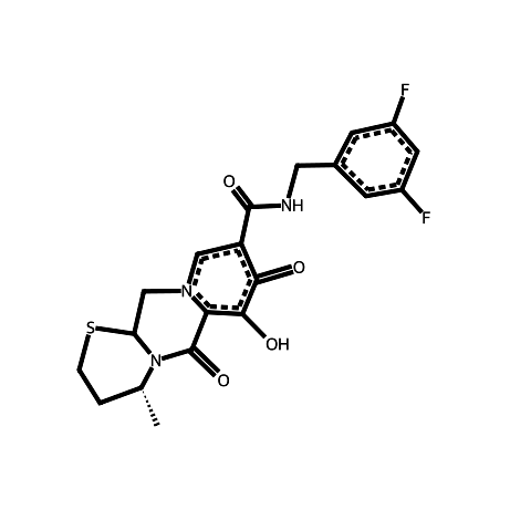 C[C@@H]1CCSC2Cn3cc(C(=O)NCc4cc(F)cc(F)c4)c(=O)c(O)c3C(=O)N21